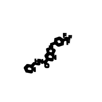 O=C(NCCc1ccccn1)c1cnc2c(c1)CN(Cc1ccc(C(F)(F)F)cc1)C2